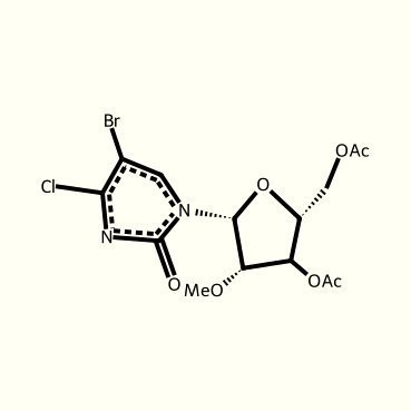 CO[C@H]1C(OC(C)=O)[C@@H](COC(C)=O)O[C@H]1n1cc(Br)c(Cl)nc1=O